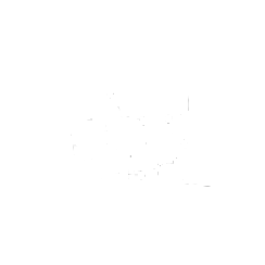 CCOC(=O)C1(C(=O)OCC)OC(=O)c2ccccc2C1(O)C(C)C